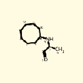 C[C@@H]([C]=O)NC1CCCCCCC1